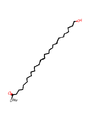 COC(=O)CCCCCCCCCCCCCCCCCCCCCCCCCCO